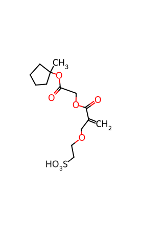 C=C(COCCS(=O)(=O)O)C(=O)OCC(=O)OC1(C)CCCC1